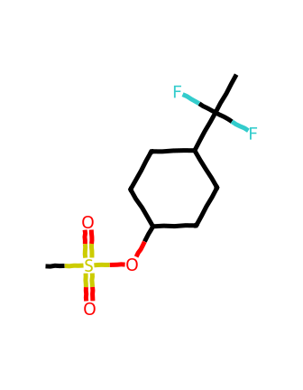 CC(F)(F)C1CCC(OS(C)(=O)=O)CC1